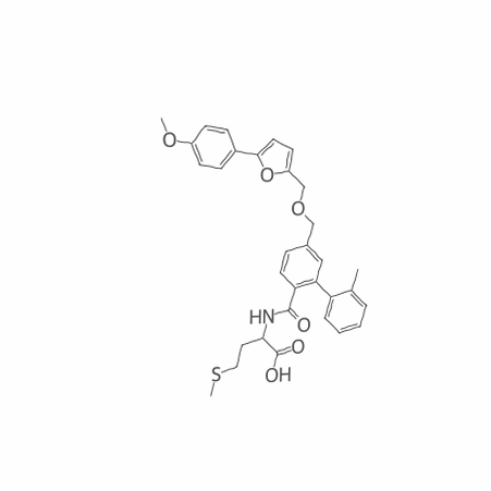 COc1ccc(-c2ccc(COCc3ccc(C(=O)NC(CCSC)C(=O)O)c(-c4ccccc4C)c3)o2)cc1